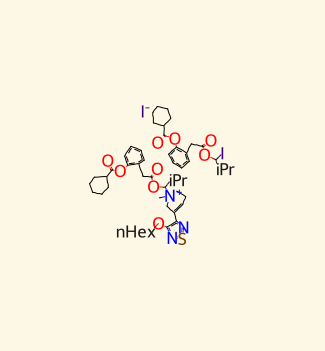 CC(C)C(I)OC(=O)Cc1ccccc1OC(=O)C1CCCCC1.CCCCCCOc1nsnc1C1=CCC[N+](C)(C(OC(=O)Cc2ccccc2OC(=O)C2CCCCC2)C(C)C)C1.[I-]